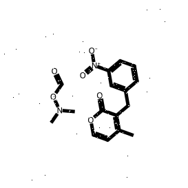 CN(C)OC=O.Cc1ccoc(=O)c1Cc1cccc([N+](=O)[O-])c1